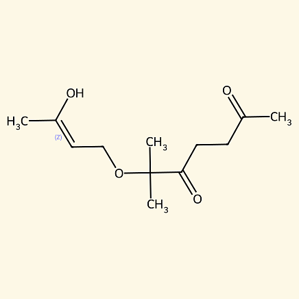 CC(=O)CCC(=O)C(C)(C)OC/C=C(/C)O